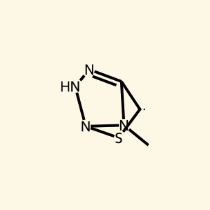 CN1C2=NNN1S[CH]2